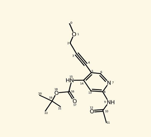 COCC#Cc1cnc(NC(C)=O)cc1NC(=O)OC(C)(C)C